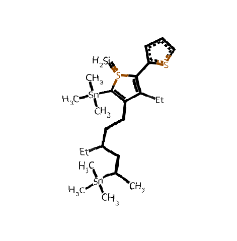 CCC1=C(c2cccs2)S(=[SiH2])[C]([Sn]([CH3])([CH3])[CH3])=C1CCC(CC)C[CH](C)[Sn]([CH3])([CH3])[CH3]